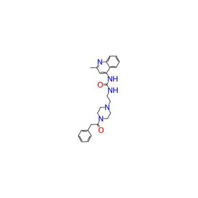 Cc1cc(NC(=O)NCCN2CCN(C(=O)Cc3ccccc3)CC2)c2ccccc2n1